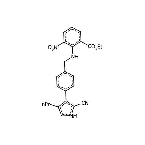 CCCc1c[nH]c(C#N)c1-c1ccc(CNc2c(C(=O)OCC)cccc2[N+](=O)[O-])cc1